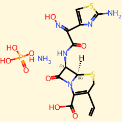 C=CC1=C(C(=O)O)N2C(=O)[C@@H](NC(=O)C(=NO)c3csc(N)n3)[C@H]2SC1.N.O=P(O)(O)O